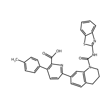 Cc1ccc(-c2ccc(-c3ccc4c(c3)N(C(=O)Nc3nc5ccccc5s3)CCC4)nc2C(=O)O)cc1